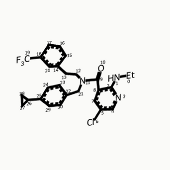 CCNc1ncc(Cl)cc1C(=O)N(CCc1cccc(C(F)(F)F)c1)Cc1ccc(C2CC2)cc1